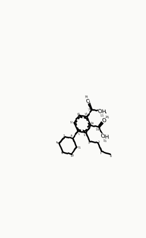 CCCCc1c(C2CCCCC2)ccc(C(=O)O)c1C(=O)O